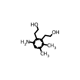 Cc1cc(N)c(CCO)c(CCO)c1C